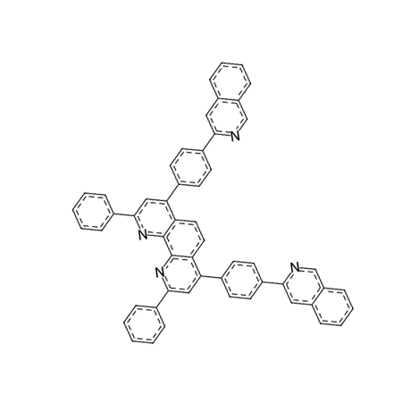 c1ccc(-c2cc(-c3ccc(-c4cc5ccccc5cn4)cc3)c3ccc4c(-c5ccc(-c6cc7ccccc7cn6)cc5)cc(-c5ccccc5)nc4c3n2)cc1